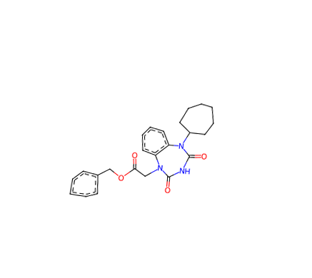 O=C(CN1C(=O)NC(=O)N(C2CCCCCC2)c2ccccc21)OCc1ccccc1